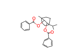 CC(C)C12CCC(C)(CC1)C(OC(=O)c1ccccc1)C2OC(=O)c1ccccc1